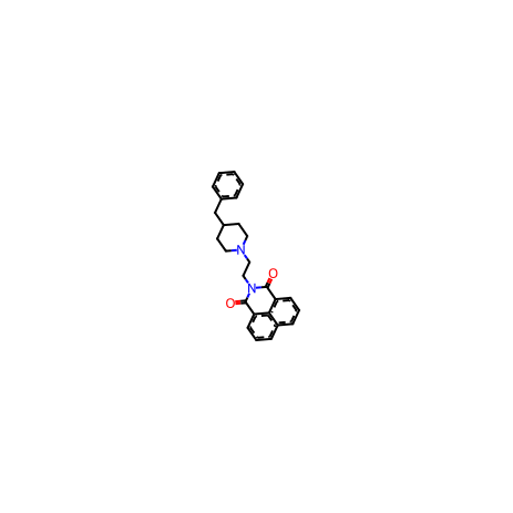 O=C1c2cccc3cccc(c23)C(=O)N1CCN1CCC(Cc2ccccc2)CC1